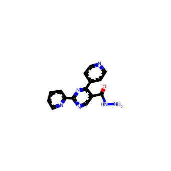 NNC(=O)c1cnc(-c2ccccn2)nc1-c1ccncc1